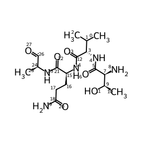 CC(C)[C@H](NC(=O)[C@@H](N)[C@@H](C)O)C(=O)N[C@@H](CCC(N)=O)C(=O)N[C@@H](C)[C]=O